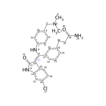 CN(C)Cc1ccc(N/C(=C2\C(=O)Nc3cc(Cl)ccc32)c2cccc(CCC(N)=O)c2)cc1